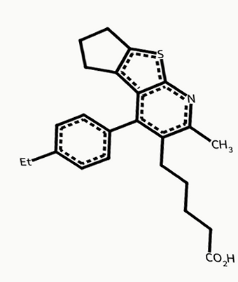 CCc1ccc(-c2c(CCCCC(=O)O)c(C)nc3sc4c(c23)CCC4)cc1